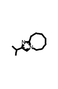 CC(C)c1cn2c(n1)CCCCCCC2